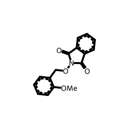 COc1ccccc1CON1C(=O)c2ccccc2C1=O